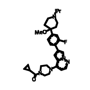 COC1(c2ccc(-c3cc4c(N5CCN(C(=O)C6CC6)CC5)ccnn4c3)c(F)c2)CCN(C(C)C)CC1